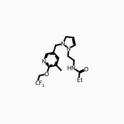 CCC(=O)NCCN1C=CCN1Cc1cnc(OCC(F)(F)F)c(C)c1